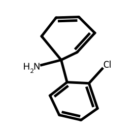 NC1(c2ccccc2Cl)C=CC=CC1